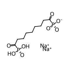 O=C(CCCCCCCC(=O)P(=O)(O)O)P(=O)([O-])[O-].[Na+].[Na+]